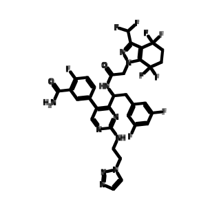 NC(=O)c1cc(-c2cnc(NCCn3ccnn3)nc2C(Cc2cc(F)cc(F)c2)NC(=O)Cn2nc(C(F)F)c3c2C(F)(F)CCC3(F)F)ccc1F